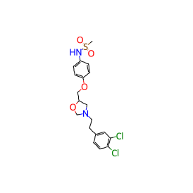 CS(=O)(=O)Nc1ccc(OCC2CN(CCc3ccc(Cl)c(Cl)c3)CO2)cc1